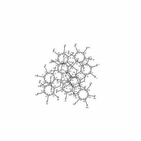 Fc1c(F)c(F)c(CC(OB(OC(Cc2c(F)c(F)c(F)c(F)c2F)(c2c(F)c(F)c(F)c(F)c2F)c2c(F)c(F)c(F)c(F)c2F)OC(Cc2c(F)c(F)c(F)c(F)c2F)(c2c(F)c(F)c(F)c(F)c2F)c2c(F)c(F)c(F)c(F)c2F)(c2c(F)c(F)c(F)c(F)c2F)c2c(F)c(F)c(F)c(F)c2F)c(F)c1F